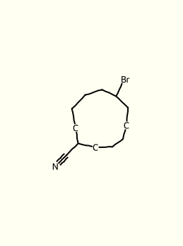 N#CC1CCCCCC(Br)CCCC1